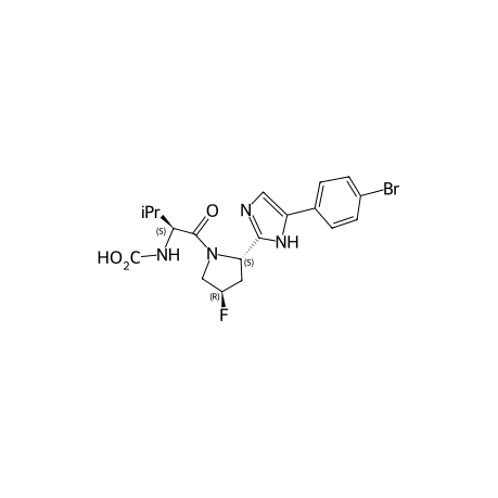 CC(C)[C@H](NC(=O)O)C(=O)N1C[C@H](F)C[C@H]1c1ncc(-c2ccc(Br)cc2)[nH]1